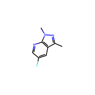 Cc1nn(C)c2ncc(F)cc12